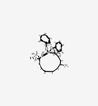 CC1CCCCCC(C)(C)N=P(Oc2ccccc2)(Oc2ccccc2)C(C)(C)CC1